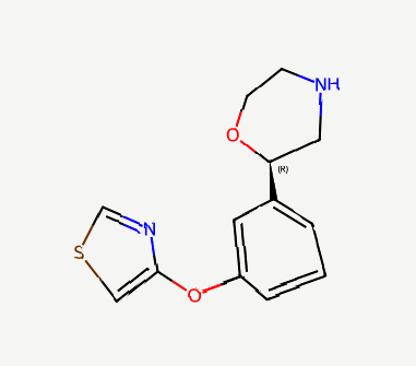 c1cc(Oc2cscn2)cc([C@@H]2CNCCO2)c1